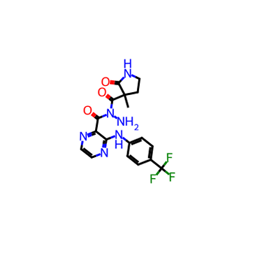 CC1(C(=O)N(N)C(=O)c2nccnc2Nc2ccc(C(F)(F)F)cc2)CCNC1=O